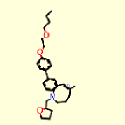 CCCCOCCOc1ccc(-c2ccc3c(c2)/C=C(/C)CCCN3CC2CCCO2)cc1